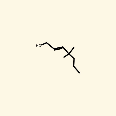 CCCC(C)(C)C=CCO